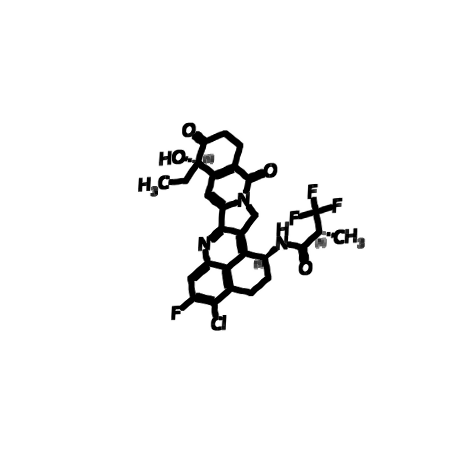 CC[C@@]1(O)C(=O)CCc2c1cc1n(c2=O)Cc2c-1nc1cc(F)c(Cl)c3c1c2[C@@H](NC(=O)[C@@H](C)C(F)(F)F)CC3